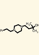 CC(C)CCN1CCN(CCC(C)(C)O)CC1